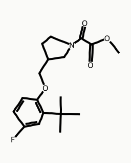 COC(=O)C(=O)N1CCC(COc2ccc(F)cc2C(C)(C)C)C1